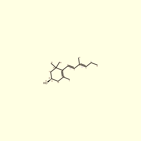 CC/C=C(C)/C=C/C1=C(C)C[C@@H](O)CC1(C)C